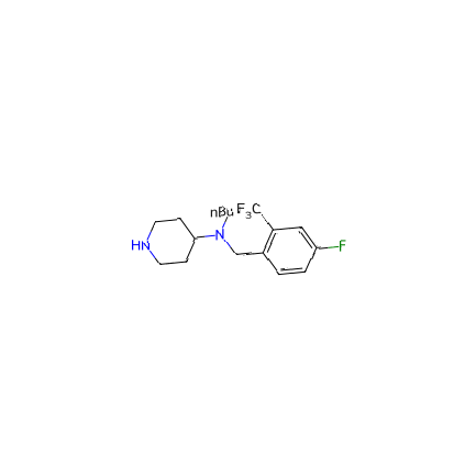 CCCCN(Cc1ccc(F)cc1C(F)(F)F)C1CCNCC1